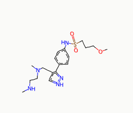 CNCCN(C)Cc1c[nH]nc1-c1ccc(NS(=O)(=O)CCCOC)cc1